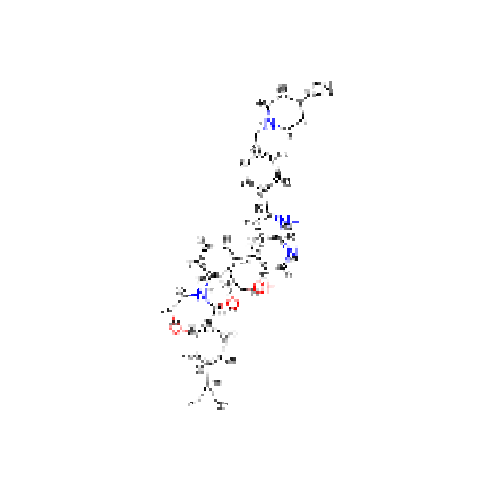 N#CC1CCN(Cc2ccc(-c3cc4c(-c5cccc(N6CCOc7cc(C8CC8)ccc7C6=O)c5CO)ccnc4[nH]3)cc2)CC1